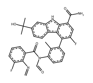 C=Nc1c(F)cccc1C(=O)N(C=O)c1cccc(-c2c(F)cc(C(N)=O)c3[nH]c4cc(C(C)(C)O)ccc4c23)c1C